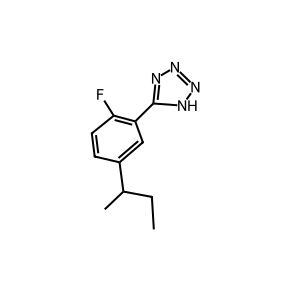 CCC(C)c1ccc(F)c(-c2nnn[nH]2)c1